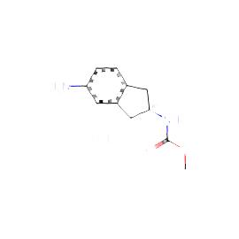 COC(=O)N[C@@H]1Cc2ccc(N)cc2C1.Cl